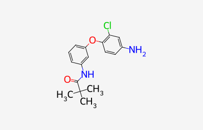 CC(C)(C)C(=O)Nc1cccc(Oc2ccc(N)cc2Cl)c1